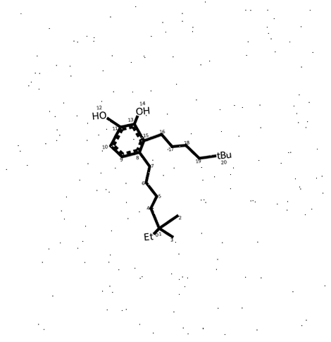 CCC(C)(C)CCCCc1ccc(O)c(O)c1CCCCC(C)(C)C